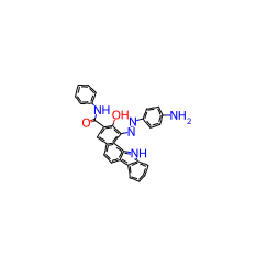 Nc1ccc(N=Nc2c(O)c(C(=O)Nc3ccccc3)cc3ccc4c5ccccc5[nH]c4c23)cc1